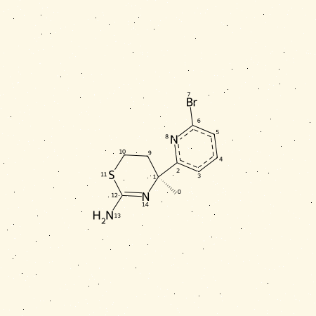 C[C@@]1(c2cccc(Br)n2)CCSC(N)=N1